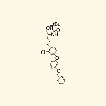 CC(C)(C)OC(=O)NC(CO)CCCc1ccc(Oc2cccc(OCc3ccccc3)c2)cc1Cl